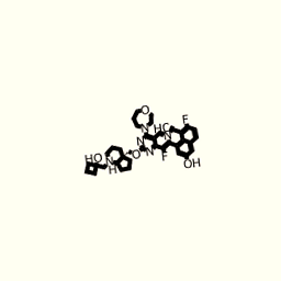 C#Cc1c(F)ccc2cc(O)cc(-c3ncc4c(N5CCCOCC5)nc(OC[C@]56CCC[C@H]5N(CC5(O)CCC5)CCC6)nc4c3F)c12